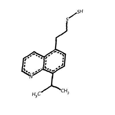 CC(C)c1ccc(CCSS)c2cccnc12